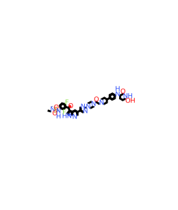 CCN(C)S(=O)(=O)Nc1ccc(F)c(C(=O)c2c[nH]c3ncc(-c4cnc(N5CCN(C(=O)CN6CCC(c7ccc(NC8CCC(O)NC8=O)cc7)CC6)CC5)nc4)cc23)c1F